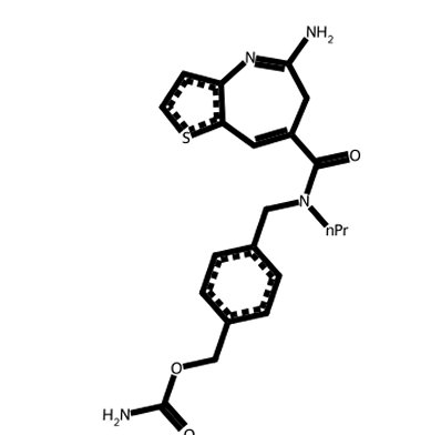 CCCN(Cc1ccc(COC(N)=O)cc1)C(=O)C1=Cc2sccc2N=C(N)C1